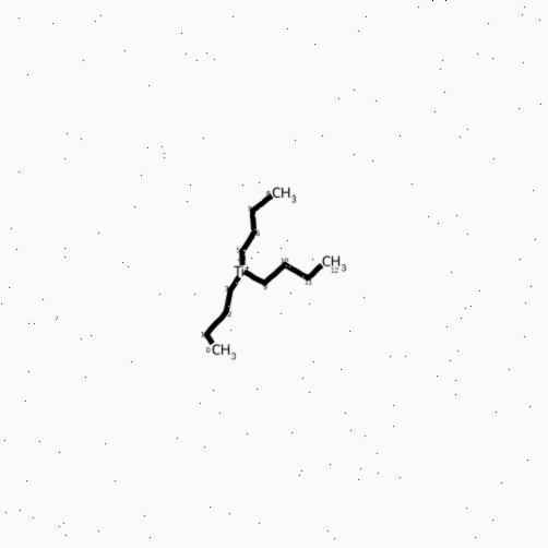 CCC[CH2][Ti+]([CH2]CCC)[CH2]CCC